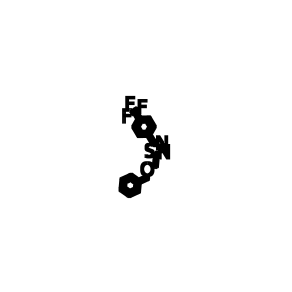 FC(F)(F)c1ccc(-c2nnc(COCc3ccccc3)s2)cc1